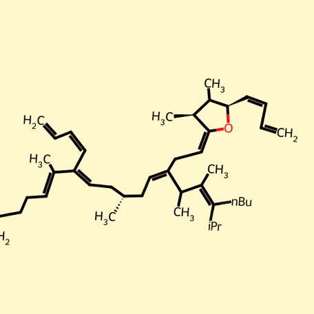 C=C\C=C/C(=C\C[C@@H](C)C/C=C(/C/C=C1/O[C@H](/C=C\C=C)C(C)[C@@H]1C)C(C)/C(C)=C(/CCCC)C(C)C)C(/C)=C/CCC=C